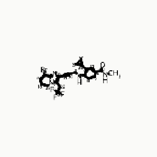 CNC(=O)c1ccc(NCC#Cc2nc3c(Br)cccn3c2CC(F)(F)F)c(C2CC2)c1